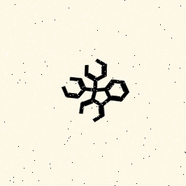 C/C=C\C(=C/C)C1(C(/C=C\C)=C/C)C(=C/C)/C(=C\C)c2ccccc21